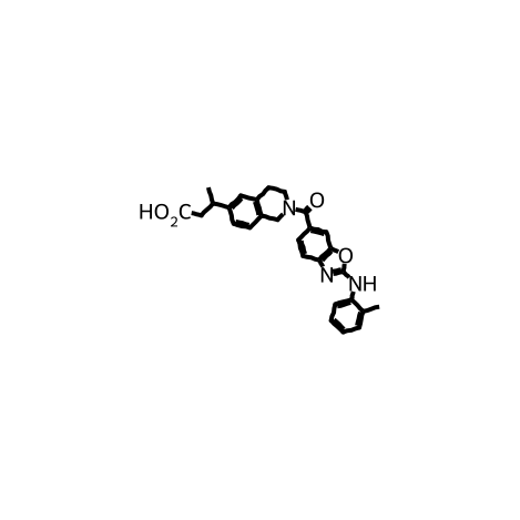 Cc1ccccc1Nc1nc2ccc(C(=O)N3CCc4cc(C(C)CC(=O)O)ccc4C3)cc2o1